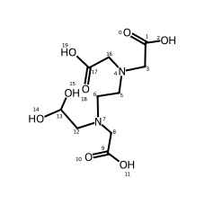 O=C(O)CN(CCN(CC(=O)O)CC(O)O)CC(=O)O